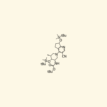 C[C@H]1CN(c2c(C#N)cnc3c2CCC3O[Si](C)(C)C(C)(C)C)C[C@@H](NC(=O)OC(C)(C)C)C1O[Si](C)(C)C(C)(C)C